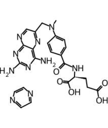 CN(Cc1cnc2nc(N)nc(N)c2n1)c1ccc(C(=O)N[C@@H](CCC(=O)O)C(=O)O)cc1.c1cnccn1